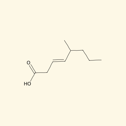 CCCC(C)C=CCC(=O)O